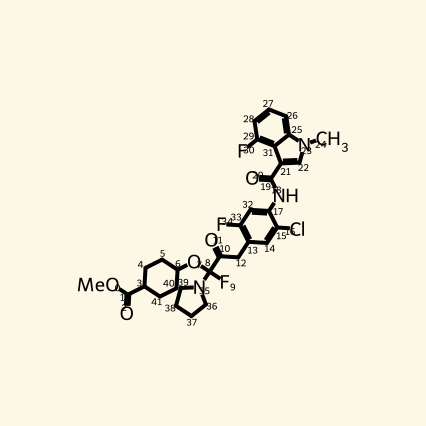 COC(=O)C1CCC(OC(F)(C(=O)Cc2cc(Cl)c(NC(=O)c3cn(C)c4cccc(F)c34)cc2F)N2CCCC2)CC1